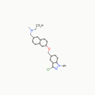 CC(C)n1nc(Cl)c2cc(COc3ccc4cc(CN(C)CC(=O)O)ccc4c3)ccc21